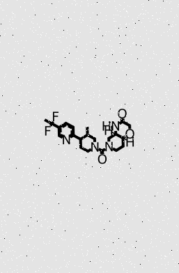 CC1CN(C(=O)N2CC[C@@H]3OCC(=O)N[C@@H]3C2)CCC1c1ccc(C(C)(F)F)cn1